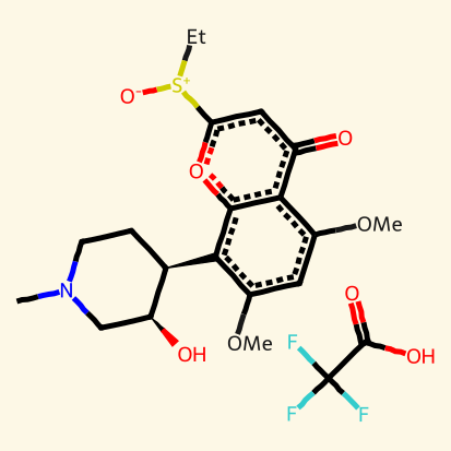 CC[S+]([O-])c1cc(=O)c2c(OC)cc(OC)c([C@@H]3CCN(C)C[C@@H]3O)c2o1.O=C(O)C(F)(F)F